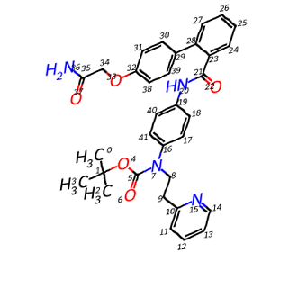 CC(C)(C)OC(=O)N(CCc1ccccn1)c1ccc(NC(=O)c2ccccc2-c2ccc(OCC(N)=O)cc2)cc1